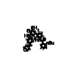 CCCCc1ncccc1C(=O)Nc1cccc(-c2cn(C)c(=O)c(Nc3ccc(CN4CCOCC4)cc3)n2)c1C